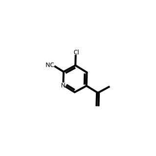 C=C(C)c1cnc(C#N)c(Cl)c1